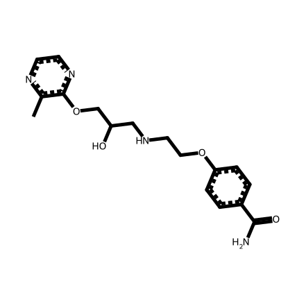 Cc1nccnc1OCC(O)CNCCOc1ccc(C(N)=O)cc1